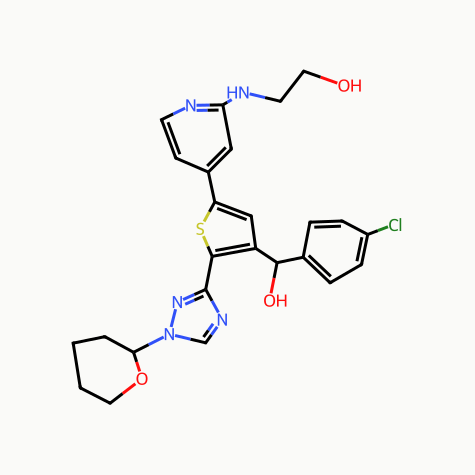 OCCNc1cc(-c2cc(C(O)c3ccc(Cl)cc3)c(-c3ncn(C4CCCCO4)n3)s2)ccn1